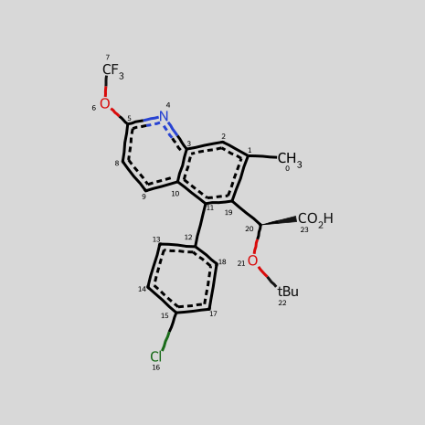 Cc1cc2nc(OC(F)(F)F)ccc2c(-c2ccc(Cl)cc2)c1[C@H](OC(C)(C)C)C(=O)O